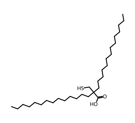 CCCCCCCCCCCCCCC(CS)(CCCCCCCCCCCCCC)C(=O)O